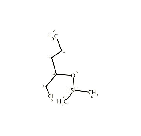 CCCC(CCl)O[SiH](C)C